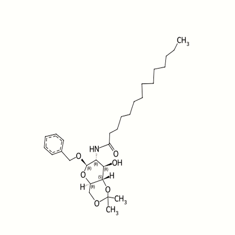 CCCCCCCCCCCCCC(=O)N[C@H]1[C@H](OCc2ccccc2)O[C@@H]2COC(C)(C)O[C@H]2[C@@H]1O